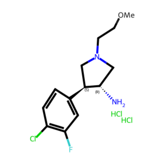 COCCN1C[C@H](c2ccc(Cl)c(F)c2)[C@@H](N)C1.Cl.Cl